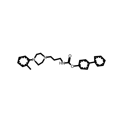 Cc1ccccc1N1CCN(CCCNC(=O)Oc2ccc(-c3ccccc3)cc2)CC1